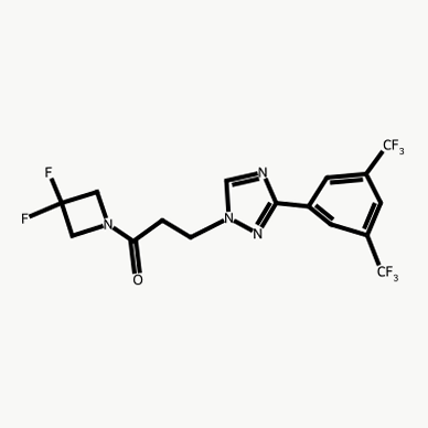 O=C(CCn1cnc(-c2cc(C(F)(F)F)cc(C(F)(F)F)c2)n1)N1CC(F)(F)C1